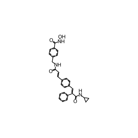 O=C(C=Cc1ccc(/C=C(/C(=O)NC2CC2)c2ccccc2)cc1)NCc1ccc(C(=O)NO)cc1